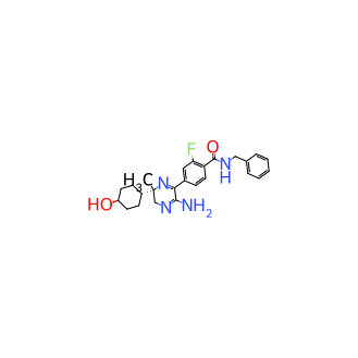 CC1([C@H]2CC[C@H](O)CC2)CN=C(N)C(c2ccc(C(=O)NCc3ccccc3)c(F)c2)=N1